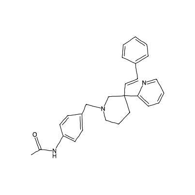 CC(=O)Nc1ccc(CN2CCCC(/C=C/c3ccccc3)(c3ccccn3)C2)cc1